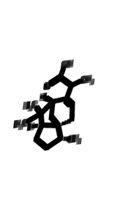 CC(C(=O)O)C1=CC[C@@]23C[C@@H]1C(C)(C)[C@@H]2CC[C@H]3C